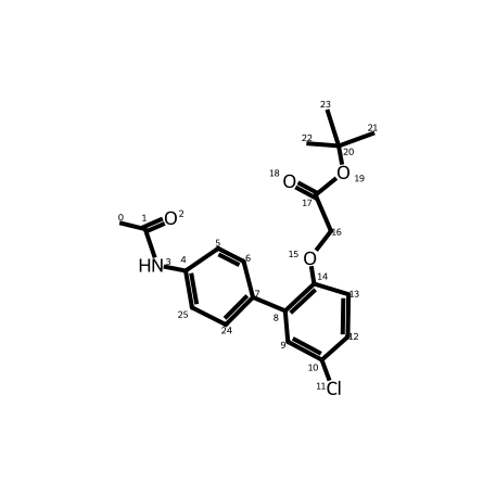 CC(=O)Nc1ccc(-c2cc(Cl)ccc2OCC(=O)OC(C)(C)C)cc1